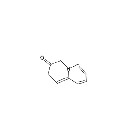 O=C1CC=C2C=CC=CN2C1